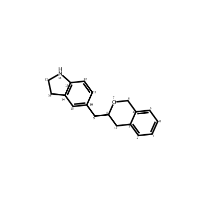 c1ccc2c(c1)COC(Cc1ccc3c(c1)CCN3)C2